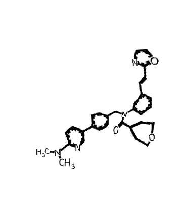 CN(C)c1ccc(-c2ccc(CN(C(=O)C3CCOCC3)c3cccc(/C=C/c4ncco4)c3)cc2)cn1